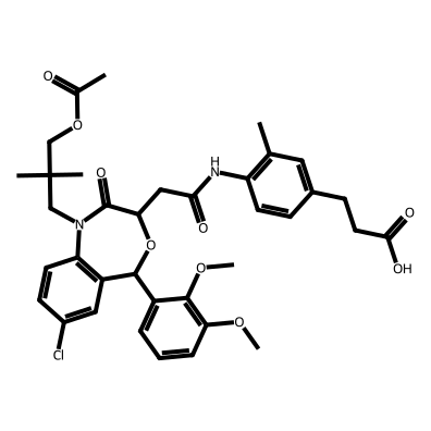 COc1cccc(C2OC(CC(=O)Nc3ccc(CCC(=O)O)cc3C)C(=O)N(CC(C)(C)COC(C)=O)c3ccc(Cl)cc32)c1OC